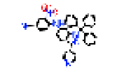 N#Cc1ccc(Nc2ccc3c(-c4ccncc4)nn(C(c4ccccc4)(c4ccccc4)c4ccccc4)c3c2)c([N+](=O)[O-])c1